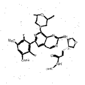 COc1cc(OC)c(F)c(-c2cc3cnc(N[C@@H]4COC[C@@H]4C=CC(=O)NC=O)nc3c(N3CC(C)OC(C)C3)n2)c1F